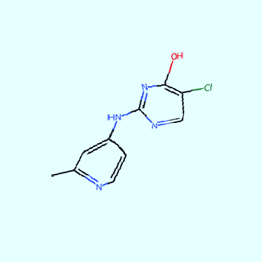 Cc1cc(Nc2ncc(Cl)c(O)n2)ccn1